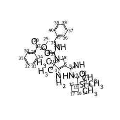 CC1(C)C(N)=C(C(=N)NC(=O)C2([Si](C)(C)C)CCC2)CN1C(=O)N[C@H](COC(=O)c1ccccc1)c1ccccc1